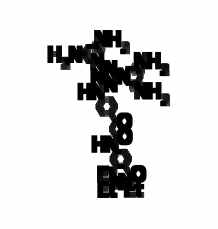 CCN(CC)N(CC)C(=O)c1ccc(NC(=O)CC(=O)c2ccc(Nc3nc(N4C[C@H](N)C[C@H](N)C4)nc(N4C[C@H](N)C[C@H](N)C4)n3)cc2)cc1